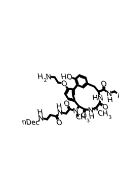 CCCCCCCCCCNCCC(=O)NCC(=O)N(C)C1C(=O)N[C@@H](C)C(=O)NC(C(=O)NCC(C)=O)Cc2ccc(O)c(c2)-c2cc1ccc2OCCN